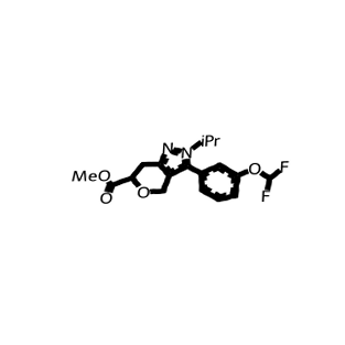 COC(=O)C1Cc2nn(C(C)C)c(-c3cccc(OC(F)F)c3)c2CO1